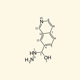 NNC(O)c1ccc2ccncc2c1